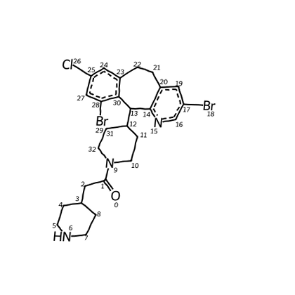 O=C(CC1CCNCC1)N1CCC(C2c3ncc(Br)cc3CCc3cc(Cl)cc(Br)c32)CC1